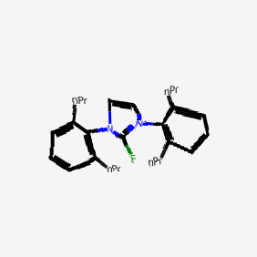 CCCc1cccc(CCC)c1-n1cc[n+](-c2c(CCC)cccc2CCC)c1F